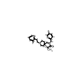 CC1OC2(CCN(CCc3ncccc3F)CC2)CN(Cc2ccc(F)cn2)C1=O